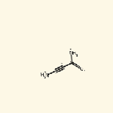 NC#CC(N)=O